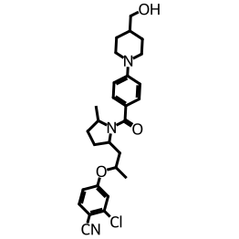 CC(CC1CCC(C)N1C(=O)c1ccc(N2CCC(CO)CC2)cc1)Oc1ccc(C#N)c(Cl)c1